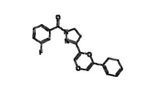 O=C(c1cccc(F)c1)N1CCC(C2=COC=C(C3=CC=CCC3)O2)=N1